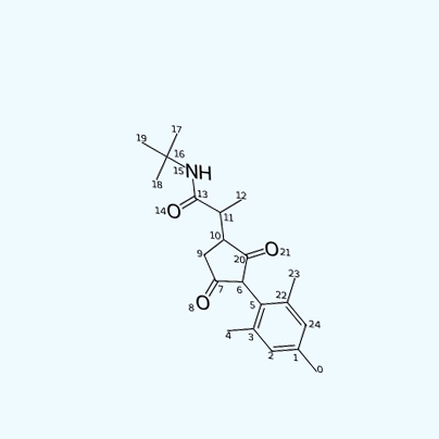 Cc1cc(C)c(C2C(=O)CC(C(C)C(=O)NC(C)(C)C)C2=O)c(C)c1